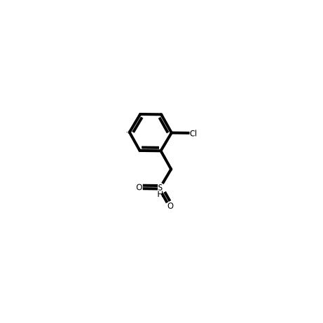 O=[SH](=O)Cc1c[c]ccc1Cl